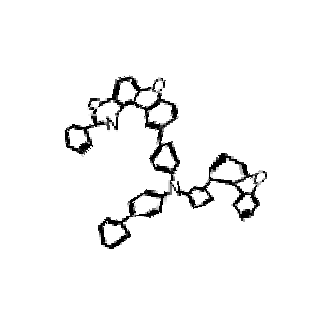 c1ccc(-c2ccc(N(c3ccc(-c4ccc5oc6ccc7sc(-c8ccccc8)nc7c6c5c4)cc3)c3cccc(-c4cccc5oc6ccccc6c45)c3)cc2)cc1